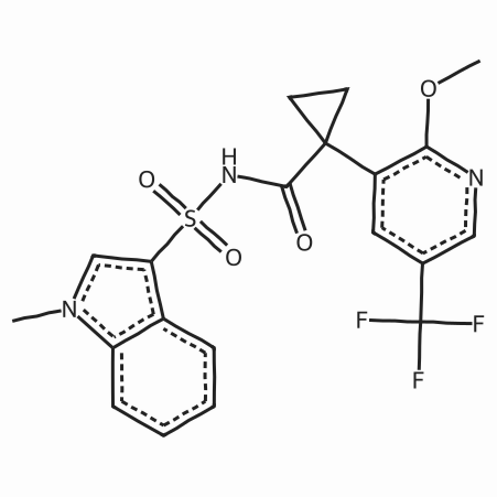 COc1ncc(C(F)(F)F)cc1C1(C(=O)NS(=O)(=O)c2cn(C)c3ccccc23)CC1